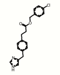 O=C(CCc1ccc(Cc2c[nH]cn2)cc1)OCc1ccc(Cl)cc1